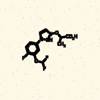 CC(ON1C=CN(c2ccc(F)c(OC(F)F)c2)N1)C(=O)O